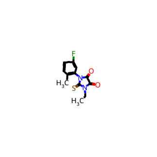 CCN1C(=O)C(=O)N(c2cc(F)ccc2C)C1=S